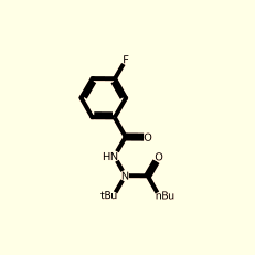 CCCCC(=O)N(NC(=O)c1cccc(F)c1)C(C)(C)C